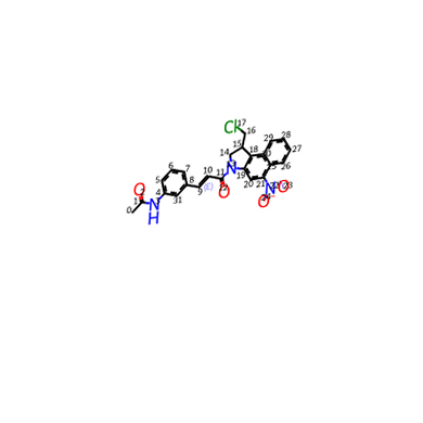 CC(=O)Nc1cccc(/C=C/C(=O)N2CC(CCl)c3c2cc([N+](=O)[O-])c2ccccc32)c1